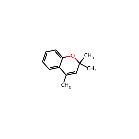 CC1=CC(C)(C)Oc2ccccc21